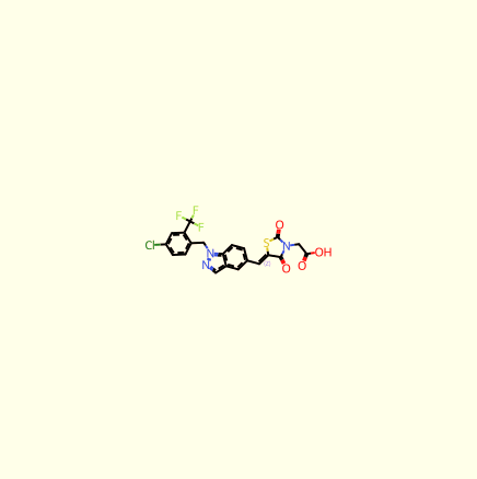 O=C(O)CN1C(=O)S/C(=C\c2ccc3c(cnn3Cc3ccc(Cl)cc3C(F)(F)F)c2)C1=O